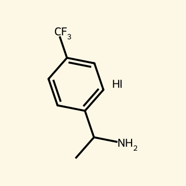 CC(N)c1ccc(C(F)(F)F)cc1.I